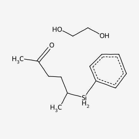 CC(=O)CCC(C)[SiH2]c1ccccc1.OCCO